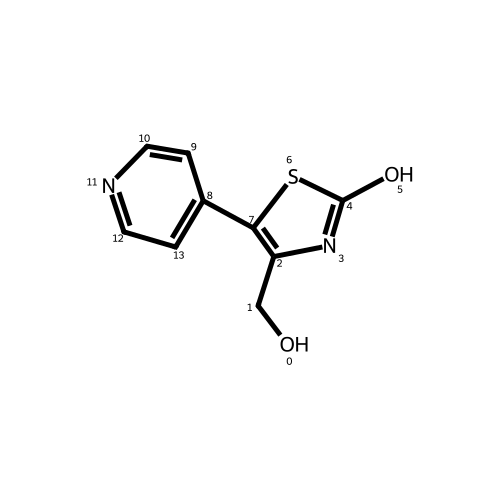 OCc1nc(O)sc1-c1ccncc1